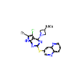 CCc1[nH]c2nc(Sc3cnc4cccnc4c3)nc(N3CC(NC)C3)c2c1Cl